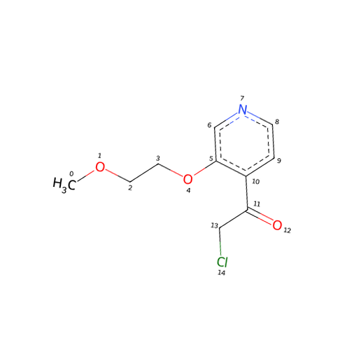 COCCOc1cnccc1C(=O)CCl